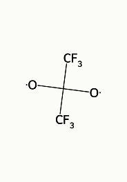 [O]C([O])(C(F)(F)F)C(F)(F)F